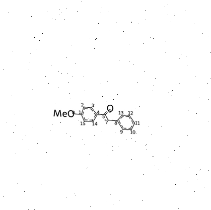 COc1ccc(C(=O)[CH]c2ccccc2)cc1